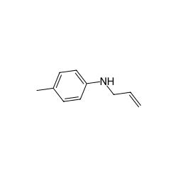 C=CCNc1ccc(C)cc1